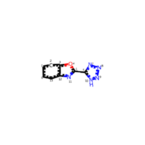 c1ccc2oc(-c3nnn[nH]3)nc2c1